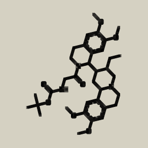 CCC1CN2CCc3cc(OC)c(OC)cc3C2CC1C1c2cc(OC)c(OC)cc2CCN1C(=O)CNC(=O)OC(C)(C)C